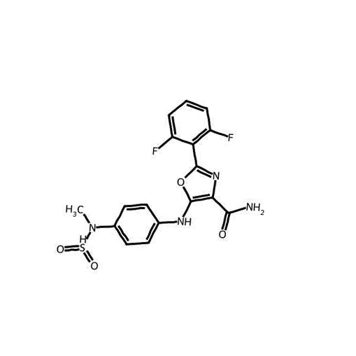 CN(c1ccc(Nc2oc(-c3c(F)cccc3F)nc2C(N)=O)cc1)[SH](=O)=O